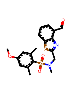 COc1cc(C)c(S(=O)(=O)N(C)Cc2nc3c(C=O)cccc3s2)c(C)c1